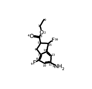 CCOC(=O)C1Cc2c(F)cc(N)cc2C1F